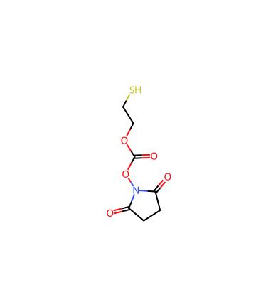 O=C(OCCS)ON1C(=O)CCC1=O